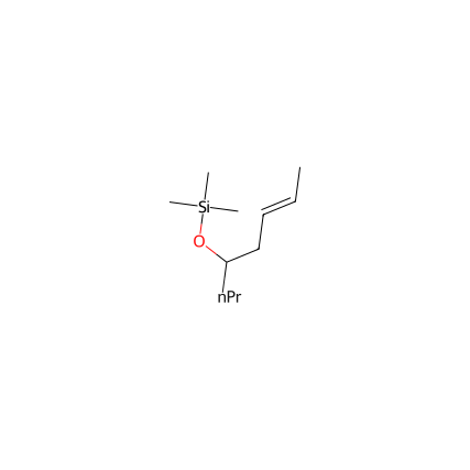 CC=CCC(CCC)O[Si](C)(C)C